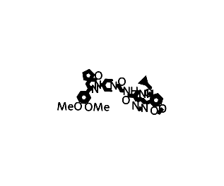 COc1ccc(C2=NN(C3CCN(C(=O)CNC(=O)c4c[nH]c5c(-c6c(OCC7CC7)ccc7c6OCO7)ncnc45)CC3)C(=O)C3(CCCC3)C2)cc1OC